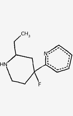 CCC1CC(F)(c2ccccn2)CCN1